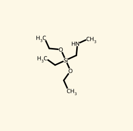 CCO[Si](CC)(CNC)OCC